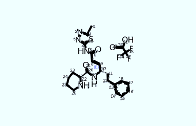 Cc1nnc(NC(=O)/C=C/[C@H](CCc2ccccc2)NC(=O)[C@@H]2CCCCN2)s1.O=C(O)C(F)(F)F